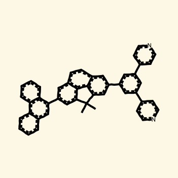 CC1(C)c2cc(-c3cc(-c4ccncc4)cc(-c4ccncc4)c3)cc3ccc4cc(-c5cc6ccccc6c6ccccc56)cc1c4c23